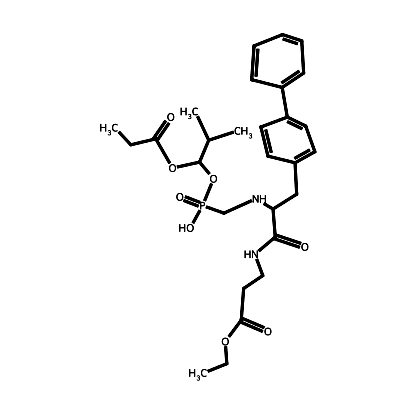 CCOC(=O)CCNC(=O)C(Cc1ccc(-c2ccccc2)cc1)NCP(=O)(O)OC(OC(=O)CC)C(C)C